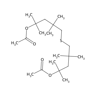 CC(=O)OC(C)(C)CC(C)(C)CSCC(C)(C)CC(C)(C)OC(C)=O